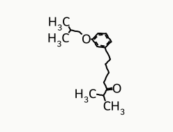 CC(C)COc1cccc(CCCCC(=O)C(C)C)c1